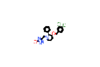 O=C1N=NC(CN2CCC[C@H](OCc3ccc(Cl)c(Cl)c3)[C@@H]2c2ccccc2)=N1